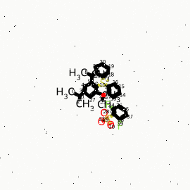 CC(C)c1cc(C(C)C)c([S+](c2ccccc2)c2ccccc2)c(C(C)C)c1.O=S(=O)([O-])c1c(F)cccc1F